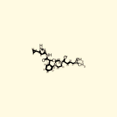 CC(C(=O)Nc1cc(C2CC2)[nH]n1)c1ccccc1N1CCN(C(=O)C=CCN(C)C)CC1